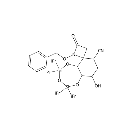 CC(C)[Si]1(C(C)C)OC2C(O)CC(C#N)C3(CC(=O)N3OCc3ccccc3)C2O[Si](C(C)C)(C(C)C)O1